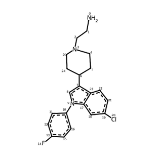 NCCN1CCC(c2cn(-c3ccc(F)cc3)c3cc(Cl)ccc23)CC1